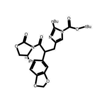 CCCCc1nc(CC(C(=O)N2C(=O)OC[C@@H]2C(C)C)c2ccc3c(c2)OCO3)cn1C(=O)OC(C)(C)C